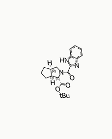 CC(C)(C)OC(=O)[C@@H]1[C@H]2CCC[C@H]2CN1C(=O)c1nc2ccccc2[nH]1